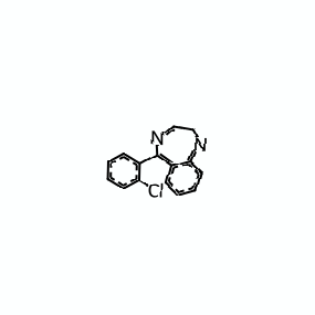 Clc1ccccc1C1=c2ccccc2=NCC=N1